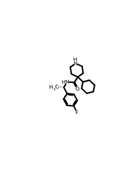 C[C@H](NC(=O)C1(C2CCCCC2)CCNCC1)c1ccc(F)cc1